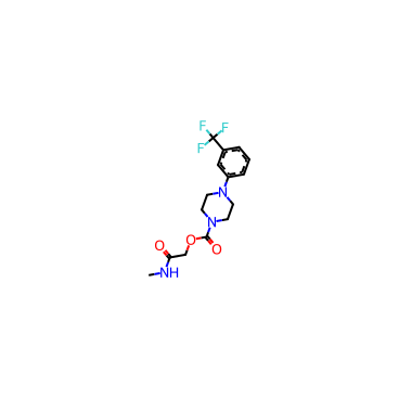 CNC(=O)COC(=O)N1CCN(c2cccc(C(F)(F)F)c2)CC1